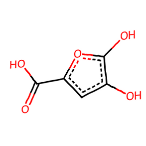 O=C(O)c1cc(O)c(O)o1